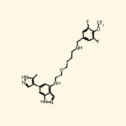 Cc1[nH]ncc1-c1cc(NCCOCCCCNCc2cc(F)c(OC(F)(F)F)c(F)c2)c2cn[nH]c2c1